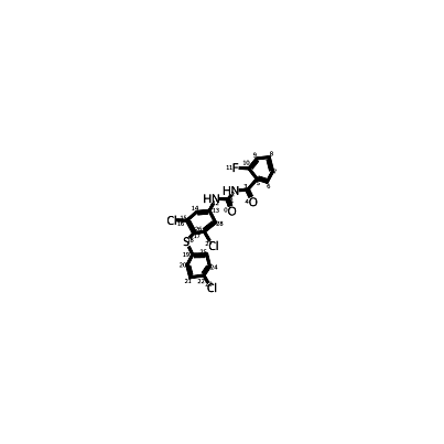 O=C(NC(=O)c1ccccc1F)Nc1cc(Cl)c(Sc2ccc(Cl)cc2)c(Cl)c1